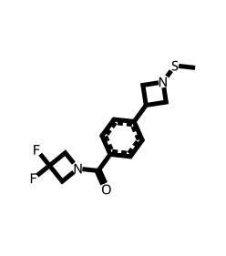 CSN1CC(c2ccc(C(=O)N3CC(F)(F)C3)cc2)C1